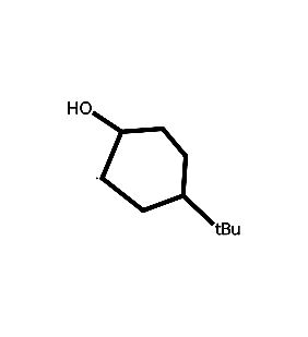 CC(C)(C)C1C[CH]C(O)CC1